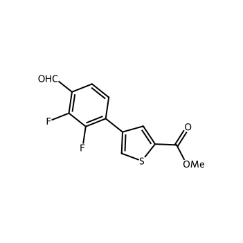 COC(=O)c1cc(-c2ccc(C=O)c(F)c2F)cs1